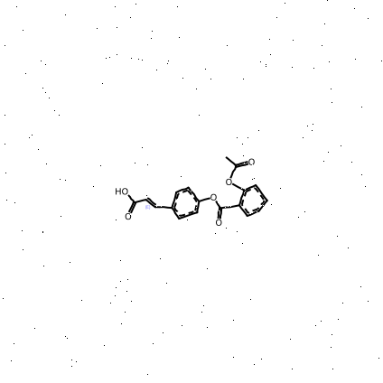 CC(=O)Oc1ccccc1C(=O)Oc1ccc(/C=C/C(=O)O)cc1